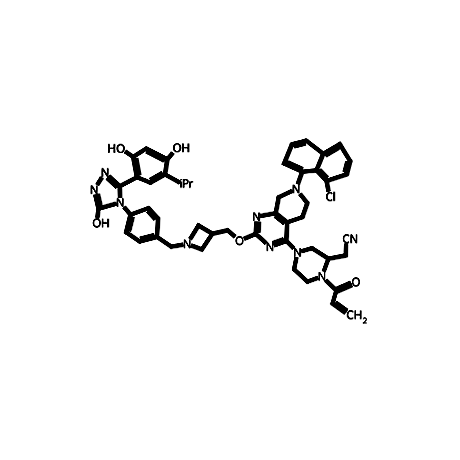 C=CC(=O)N1CCN(c2nc(OCC3CN(Cc4ccc(-n5c(O)nnc5-c5cc(C(C)C)c(O)cc5O)cc4)C3)nc3c2CCN(c2cccc4cccc(Cl)c24)C3)CC1CC#N